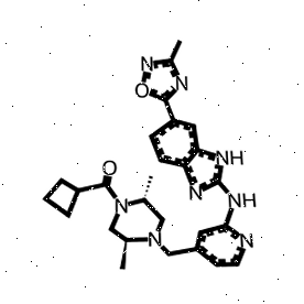 Cc1noc(-c2ccc3nc(Nc4cc(CN5C[C@@H](C)N(C(=O)C6CCC6)C[C@@H]5C)ccn4)[nH]c3c2)n1